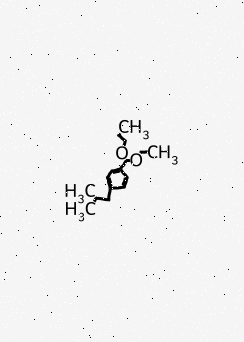 CCCOC(OCC)c1ccc(CC(C)C)cc1